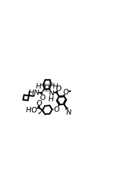 COc1cc(C#N)c(O[C@H]2CC[C@@](C)(C(=O)O)CC2)cc1C(=O)N[C@H]1[C@@H](C(=O)NCC2(C)CCC2)[C@H]2CC[C@@H]1O2